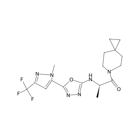 C[C@@H](Nc1nnc(-c2cc(C(F)(F)F)nn2C)o1)C(=O)N1CCC2(CC1)CC2